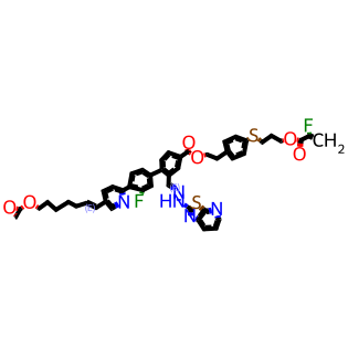 C=C(F)C(=O)OCCCSc1ccc(CCOC(=O)c2ccc(-c3ccc(-c4ccc(/C=C/CCCCCOC5CO5)cn4)c(F)c3)c(/C=N/Nc3nc4cccnc4s3)c2)cc1